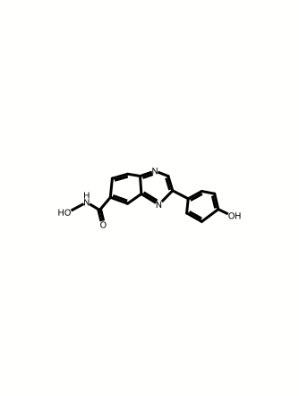 O=C(NO)c1ccc2ncc(-c3ccc(O)cc3)nc2c1